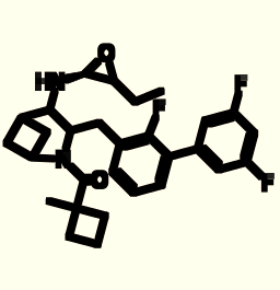 CCC1O[C@@H]1NC1C2CC(C2)N(C(=O)C2(C)CCC2)C1Cc1cccc(-c2cc(F)cc(F)c2)c1F